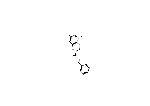 O=C(OCc1ccccc1)N1CCc2c(cc(C(F)(F)F)c[n+]2[O-])C1